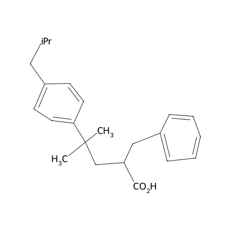 CC(C)Cc1ccc(C(C)(C)CC(Cc2ccccc2)C(=O)O)cc1